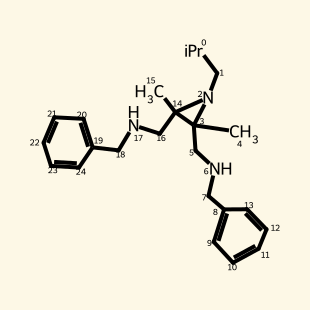 CC(C)CN1C(C)(CNCc2ccccc2)C1(C)CNCc1ccccc1